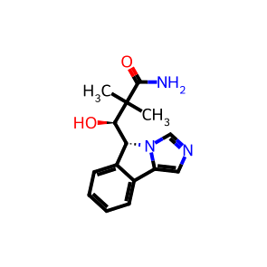 CC(C)(C(N)=O)[C@H](O)[C@H]1c2ccccc2-c2cncn21